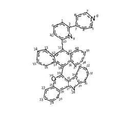 c1cc(-c2ccncc2)nc(-c2c3ccccc3c(-c3oc4ccccc4c4nc5ccccc5c3-4)c3ccccc23)c1